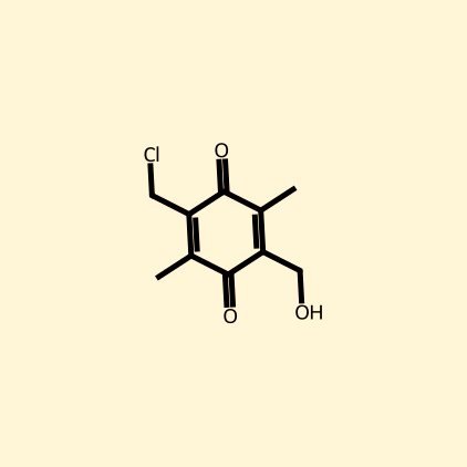 CC1=C(CO)C(=O)C(C)=C(CCl)C1=O